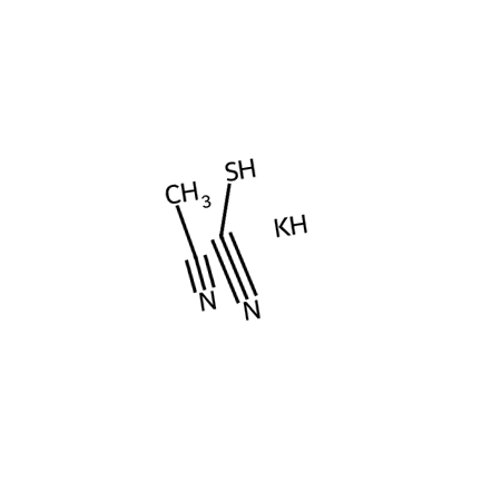 CC#N.N#CS.[KH]